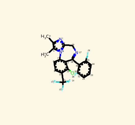 Cc1nc2n(c1C)-c1ccc(C(F)(F)F)c(Cl)c1C(c1c(F)cccc1F)=NC2